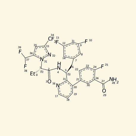 CC[C@@H](C(=O)N[C@@H](Cc1cc(F)cc(F)c1)c1ncccc1-c1ccc(F)c(C(N)=O)c1)n1nc(C(F)(F)F)cc1C(F)F